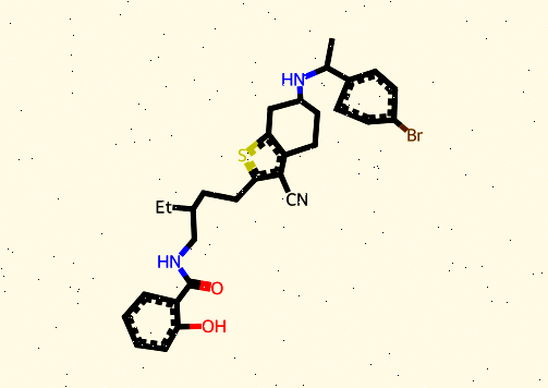 CCC(CCc1sc2c(c1C#N)CCC(NC(C)c1ccc(Br)cc1)C2)CNC(=O)c1ccccc1O